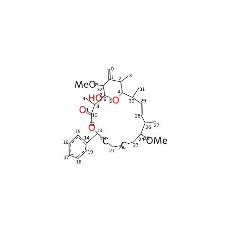 C=C1C(C)C2OC(O)(C(C)C(=O)OC(c3ccccc3)CCCCC(OC)C(C)/C=C/C2C)C1OC